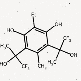 CCc1c(O)c(C(C)(O)C(F)(F)F)c(C)c(C(C)(O)C(F)(F)F)c1O